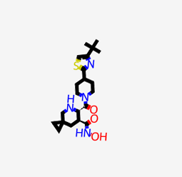 CC(C)(C)c1csc(C2CCN(C(=O)[C@H]3NCC4(CC4)C[C@@H]3C(=O)NO)CC2)n1